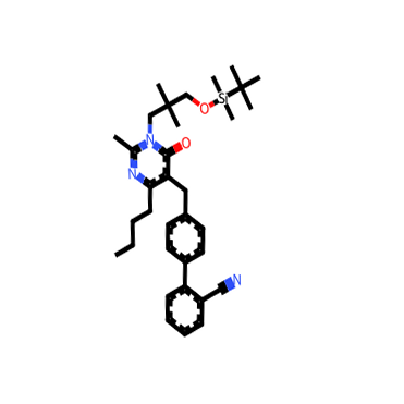 CCCCc1nc(C)n(CC(C)(C)CO[Si](C)(C)C(C)(C)C)c(=O)c1Cc1ccc(-c2ccccc2C#N)cc1